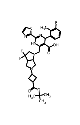 Cc1c(F)cccc1C1N=C(c2nccs2)NC(CN2CC(F)(F)C3CN(C4CC(C(=O)OC(C)(C)C)C4)CC32)=C1C(=O)O